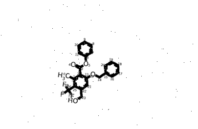 Cc1c(C(=O)Oc2ccccc2)c(OCc2ccccc2)cc(CO)c1C(F)(F)F